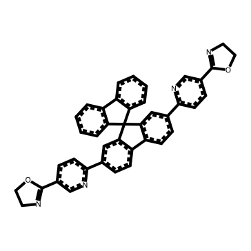 c1ccc2c(c1)-c1ccccc1C21c2cc(-c3ccc(C4=NCCO4)cn3)ccc2-c2ccc(-c3ccc(C4=NCCO4)cn3)cc21